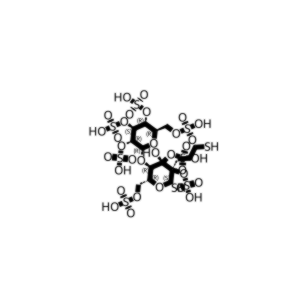 O=S(=O)(O)OC[C@H]1O[C@H](O[C@@H]2[C@@H](COS(=O)(=O)O)O[C@@H](S)[C@](CCCS)(OS(=O)(=O)O)[C@@]2(O)OS(=O)(=O)O)[C@H](OS(=O)(=O)O)[C@@H](OS(=O)(=O)O)[C@@H]1OS(=O)(=O)O